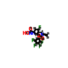 O=C(NO)c1ccc(CN(C2CC2)S(=O)(=O)c2cc(F)c(F)c(F)c2F)c(F)c1